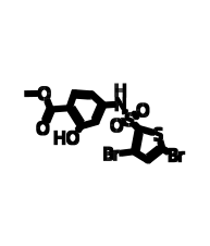 COC(=O)c1ccc(NS(=O)(=O)c2sc(Br)cc2Br)cc1O